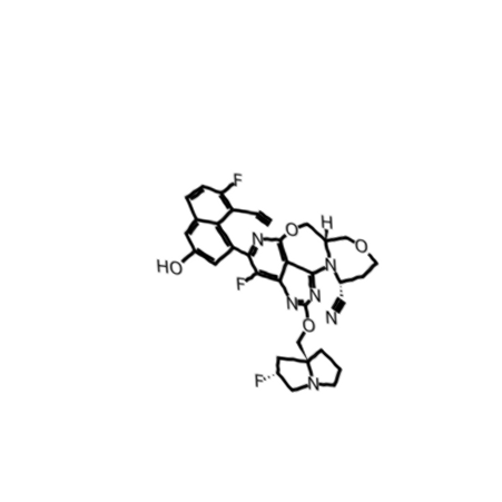 C#Cc1c(F)ccc2cc(O)cc(-c3nc4c5c(nc(OC[C@@]67CCCN6C[C@H](F)C7)nc5c3F)N3[C@@H](COCC[C@@H]3C#N)CO4)c12